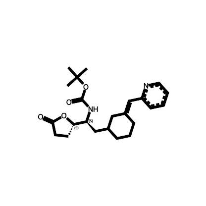 CC(C)(C)OC(=O)N[C@@H](CC1CCCC(=Cc2ccccn2)C1)[C@@H]1CCC(=O)O1